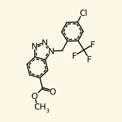 COC(=O)c1ccc2nnn(Cc3ccc(Cl)cc3C(F)(F)F)c2c1